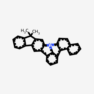 CC1(C)c2ccccc2-c2cc3c4cccc5c6c7ccccc7ccc6n(c3cc21)c45